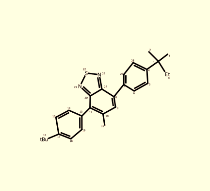 CCC(C)(C)c1ccc(-c2cc(C)c(-c3ccc(C(C)(C)C)cc3)c3nsnc23)cc1